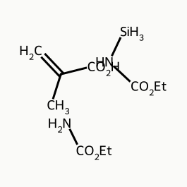 C=C(C)C(=O)O.CCOC(=O)N[SiH3].CCOC(N)=O